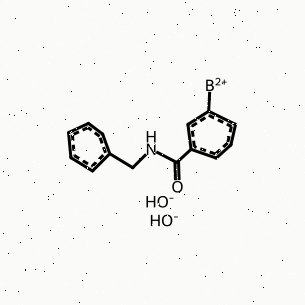 [B+2]c1cccc(C(=O)NCc2ccccc2)c1.[OH-].[OH-]